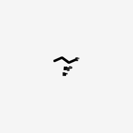 [Br-].[CH2-]CCC.[Mg+2]